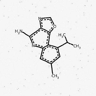 Cc1cc(C(C)C)c2c(c1)nc(N)c1ncoc12